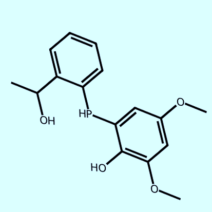 COc1cc(OC)c(O)c(Pc2ccccc2C(C)O)c1